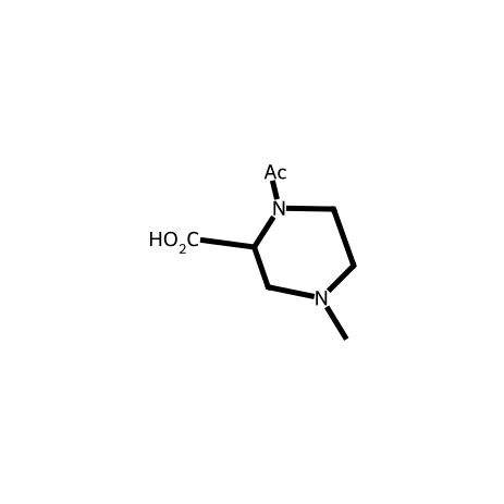 CC(=O)N1CCN(C)CC1C(=O)O